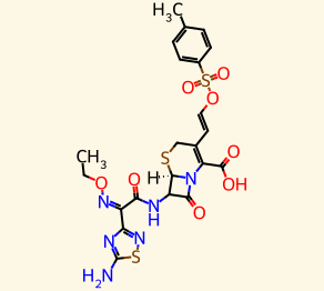 CCO/N=C(\C(=O)NC1C(=O)N2C(C(=O)O)=C(/C=C/OS(=O)(=O)c3ccc(C)cc3)CS[C@H]12)c1nsc(N)n1